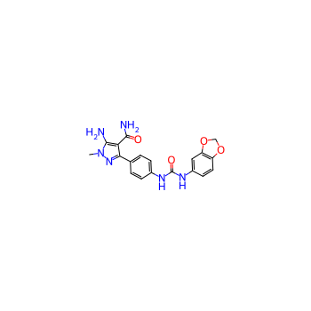 Cn1nc(-c2ccc(NC(=O)Nc3ccc4c(c3)OCO4)cc2)c(C(N)=O)c1N